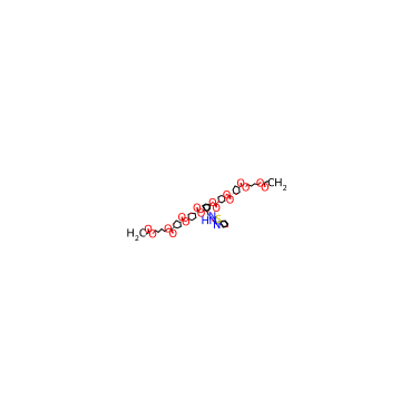 C=CC(=O)OCCCCOC(=O)[C@H]1CC[C@H](C(=O)O[C@H]2CC[C@H](C(=O)Oc3ccc(OC(=O)[C@H]4CC[C@H](OC(=O)[C@H]5CC[C@H](C(=O)OCCCCOC(=O)C=C)CC5)CC4)c(/C=N/Nc4nc5ccccc5s4)c3)CC2)CC1